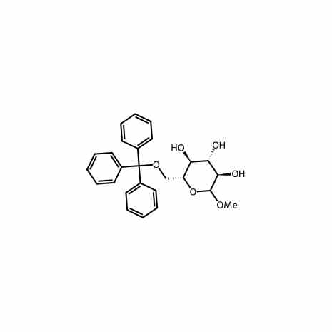 COC1O[C@H](COC(c2ccccc2)(c2ccccc2)c2ccccc2)[C@@H](O)[C@H](O)[C@H]1O